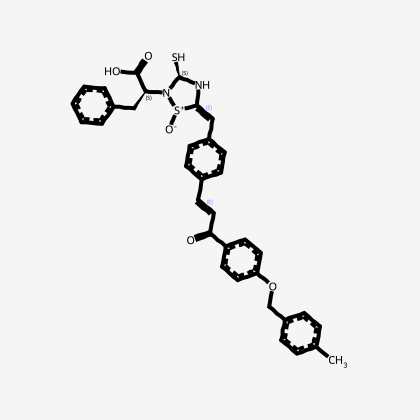 Cc1ccc(COc2ccc(C(=O)/C=C/c3ccc(/C=C4/N[C@H](S)N([C@@H](Cc5ccccc5)C(=O)O)[S+]4[O-])cc3)cc2)cc1